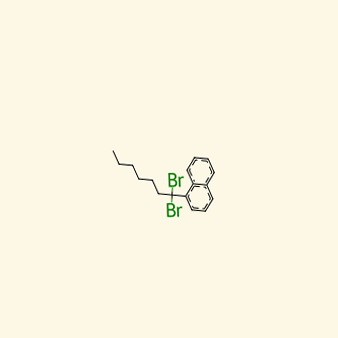 CCCCCCC(Br)(Br)c1cccc2ccccc12